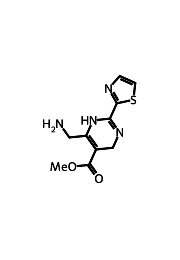 COC(=O)C1=C(CN)NC(c2nccs2)=NC1